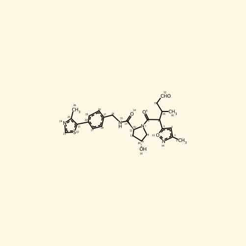 Cc1cc(C(C(=O)N2C[C@H](O)C[C@H]2C(=O)NCc2ccc(-c3scnc3C)cc2)C(C)CC=O)on1